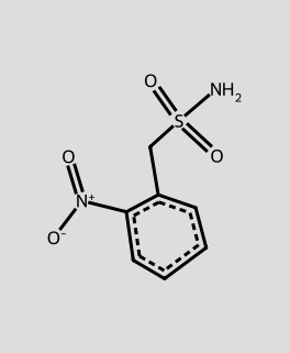 NS(=O)(=O)Cc1ccccc1[N+](=O)[O-]